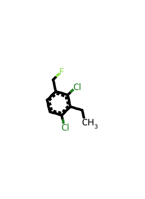 CCc1c(Cl)ccc(CF)c1Cl